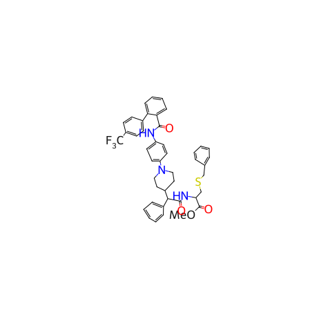 COC(=O)C(CSCc1ccccc1)NC(=O)C(c1ccccc1)C1CCN(c2ccc(NC(=O)c3ccccc3-c3ccc(C(F)(F)F)cc3)cc2)CC1